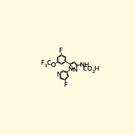 O=C(O)Nc1cc(-c2cc(F)cc(OC(F)(F)F)c2)n(-c2cncc(F)c2)n1